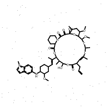 C=CCC1/C=C(\C)CC(C)CC(OC)C2OC(O)(C(=O)C(=O)N3CCCCC3C(=O)OC(C(C)=CC3CCC(Nc4ccc5c(ccn5C)c4)C(OC)C3)C(C)C(O)CC1=O)C(C)CC2OC